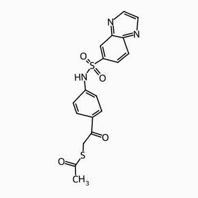 CC(=O)SCC(=O)c1ccc(NS(=O)(=O)c2ccc3nccnc3c2)cc1